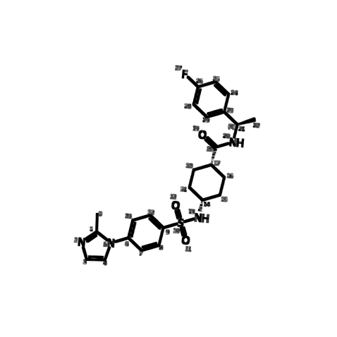 Cc1nccn1-c1ccc(S(=O)(=O)N[C@H]2CC[C@@H](C(=O)N[C@H](C)c3ccc(F)cc3)CC2)cc1